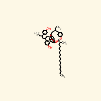 CCCCCCCCCCCCCCCCC(C)[Si]12Oc3ccc(cc3)C(CC)CC(CC(CC(CC(CC)c3ccc(O)cc3)c3ccc(O)cc3)c3ccc(cc3)O1)c1ccc(cc1)O2